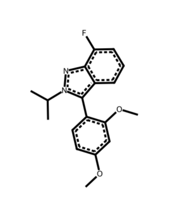 COc1ccc(-c2c3cccc(F)c3nn2C(C)C)c(OC)c1